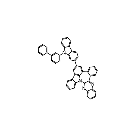 c1ccc(-c2cccc(-n3c4ccccc4c4ccc(-c5cc6c7c(c5)c5ccccc5n7-c5nc7ccccc7nc5-c5ccccc5-6)cc43)c2)cc1